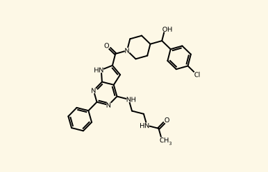 CC(=O)NCCNc1nc(-c2ccccc2)nc2[nH]c(C(=O)N3CCC(C(O)c4ccc(Cl)cc4)CC3)cc12